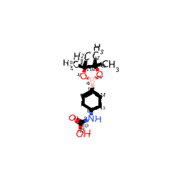 CC1(C)OB(C2=CCC(NC(=O)O)CC2)OC1(C)C